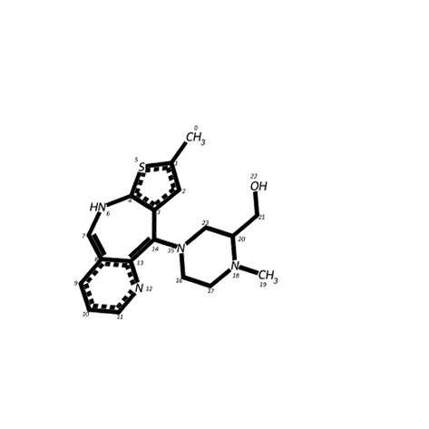 Cc1cc2c(s1)NC=c1cccnc1=C2N1CCN(C)C(CO)C1